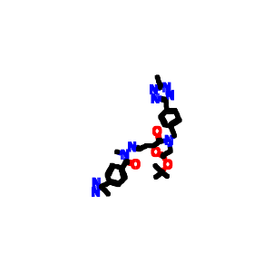 Cc1nnc(-c2ccc(CN(CC(=O)OC(C)(C)C)C(=O)CC/C=N/N(C)C(=O)c3ccc(C4(C)N=N4)cc3)cc2)nn1